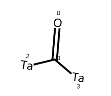 O=[C]([Ta])[Ta]